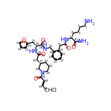 NCCCC[C@H](NC(=O)Cc1ccccc1CNC(=O)[C@H](Cc1ccco1)NC(=O)C[C@H]1CCCN(C(=O)/C=C/C=O)C1)C(N)=O